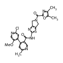 COc1cnc(Cl)cc1-c1cc(C)ncc1C(=O)Nc1nc2c(s1)CN(C(=O)c1nc(C)c(C)o1)C2